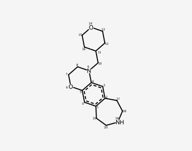 c1c2c(cc3c1OCCN3CC1CCOCC1)CCNCC2